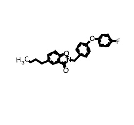 CCCCc1ccc2on(Cc3ccc(Oc4ccc(F)cc4)cc3)c(=O)c2c1